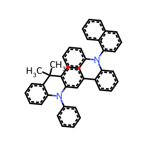 CC1(C)c2ccccc2N(c2ccccc2)c2cc(-c3ccccc3N(c3ccccc3)c3cccc4ccccc34)ccc21